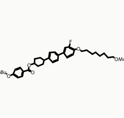 CCCCOc1ccc(C(=O)OC2CCC(c3ccc(-c4ccc(OCCCCCCCCOC)c(F)c4)cc3)CC2)cc1